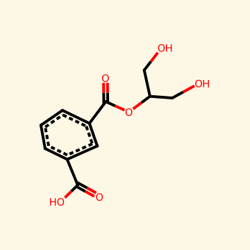 O=C(O)c1cccc(C(=O)OC(CO)CO)c1